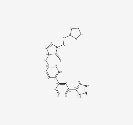 O=c1n(CCC2CCCC2)ccn1Cc1ccc(-c2cccc(-c3nnn[nH]3)c2)nc1